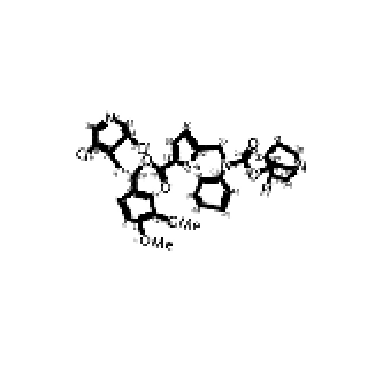 COc1ccc([C@H](Cc2c(Cl)cncc2Cl)OC(=O)c2ccc(CN(C(=O)O[C@H]3CN4CCC3CC4)c3ccccc3)s2)cc1OC